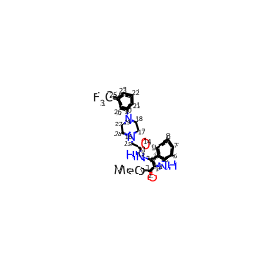 COC(=O)c1[nH]c2ccccc2c1NC(=O)CN1CCN(c2cccc(C(F)(F)F)c2)CC1